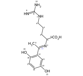 C/C(=N\C(CCCNC(=N)N)C(=O)O)c1cc(O)ccc1O